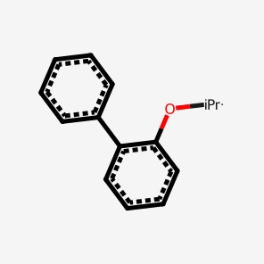 C[C](C)Oc1ccccc1-c1ccccc1